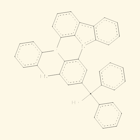 CC(c1ccccc1)(c1ccccc1)c1cc2c3c(c1)-n1c4ccccc4c4cccc(c41)B3c1ccccc1N2